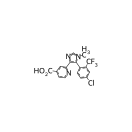 Cn1cnc(-c2cc(C(=O)O)ccn2)c1-c1ccc(Cl)cc1C(F)(F)F